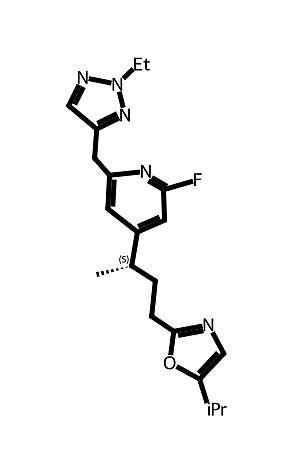 CCn1ncc(Cc2cc([C@@H](C)CCc3ncc(C(C)C)o3)cc(F)n2)n1